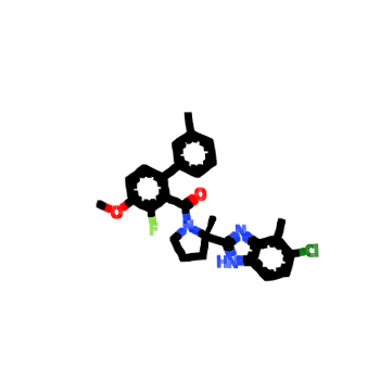 COc1ccc(-c2cccc(C)c2)c(C(=O)N2CCC[C@@]2(C)c2nc3c(C)c(Cl)ccc3[nH]2)c1F